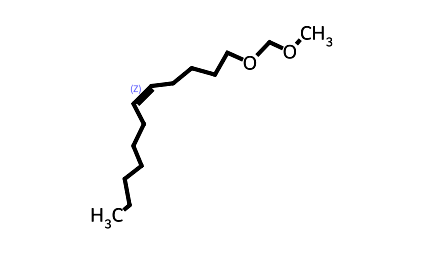 CCCCCC/C=C\CCCCOCOC